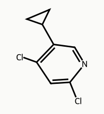 Clc1cc(Cl)c(C2CC2)cn1